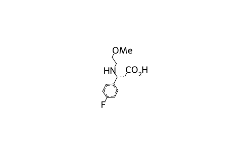 COCCN[C@H](CC(=O)O)c1ccc(F)cc1